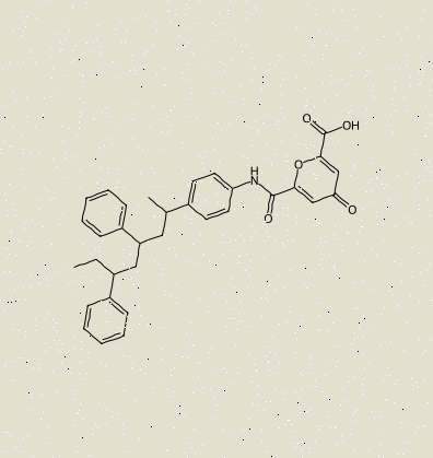 CCC(CC(CC(C)c1ccc(NC(=O)c2cc(=O)cc(C(=O)O)o2)cc1)c1ccccc1)c1ccccc1